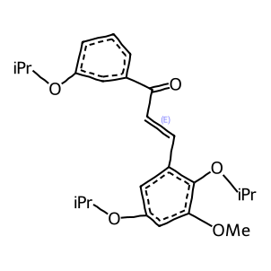 COc1cc(OC(C)C)cc(/C=C/C(=O)c2cccc(OC(C)C)c2)c1OC(C)C